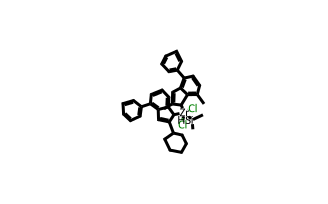 CC1=Cc2c(-c3ccccc3)ccc(C)c2[CH]1[Zr]([Cl])([Cl])([CH]1C(C2CCCCC2)=Cc2c(-c3ccccc3)cccc21)[SiH](C)C